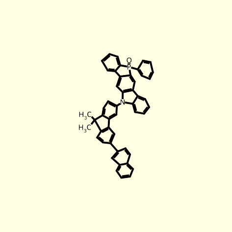 CC1(C)c2ccc(-c3ccc4ccccc4c3)cc2-c2cc(-n3c4ccccc4c4cc5c(cc43)-c3ccccc3P5(=O)c3ccccc3)ccc21